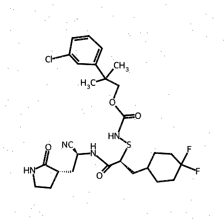 CC(C)(COC(=O)NS[C@@H](CC1CCC(F)(F)CC1)C(=O)N[C@H](C#N)C[C@@H]1CCNC1=O)c1cccc(Cl)c1